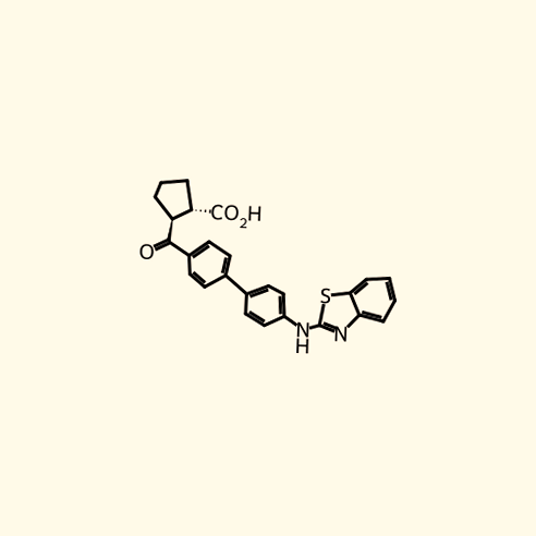 O=C(O)[C@H]1CCC[C@@H]1C(=O)c1ccc(-c2ccc(Nc3nc4ccccc4s3)cc2)cc1